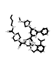 CCCCOC(=O)N1CCN(C(=O)[C@H](CP2(=O)OCc3cccc(C(C)C)c3O2)NC(=O)c2cc(N3CC[C@H](OC)C3)nc(-c3ccccc3)n2)CC1